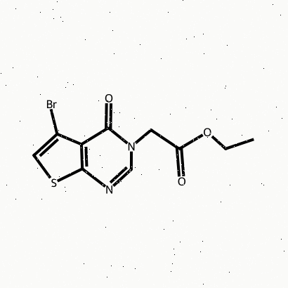 CCOC(=O)Cn1cnc2scc(Br)c2c1=O